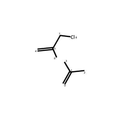 C=C(C)C.C=C(C)CCl